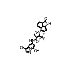 COc1cc(NC(=O)c2cnn(-c3ccc4c5c(cccc35)C(=O)N4)c2C(F)(F)F)cc2c(Cl)cnn12